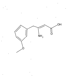 COc1cccc(C/C(N)=C/C(=O)O)c1